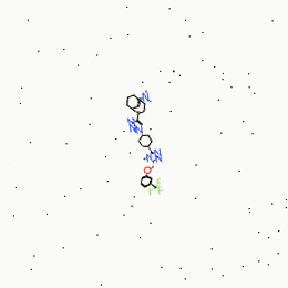 CN(C)C12CCCC(C1)C(c1cn([C@H]3CC[C@H](c4nnc(COc5cccc(C(F)(F)F)c5)n4C)CC3)nn1)CC2